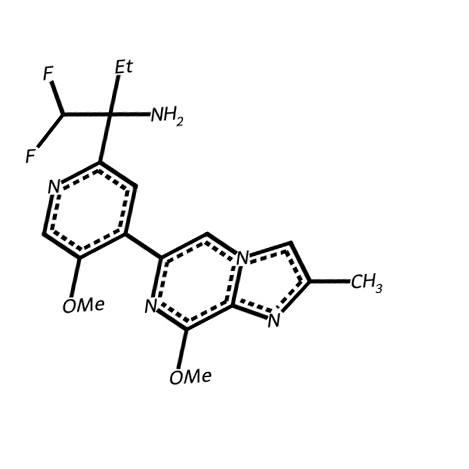 CCC(N)(c1cc(-c2cn3cc(C)nc3c(OC)n2)c(OC)cn1)C(F)F